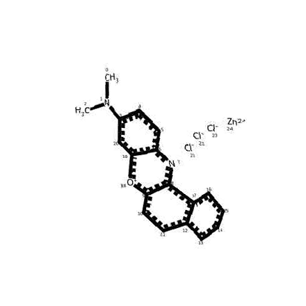 CN(C)c1ccc2nc3c(ccc4ccccc43)[o+]c2c1.[Cl-].[Cl-].[Cl-].[Zn+2]